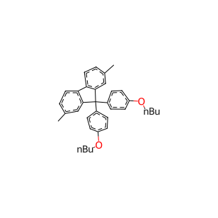 CCCCOc1ccc(C2(c3ccc(OCCCC)cc3)c3cc(C)ccc3-c3ccc(C)cc32)cc1